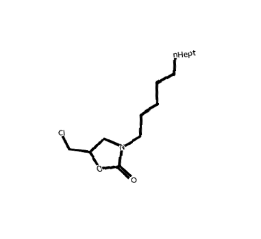 CCCCCCCCCCCCN1CC(CCl)OC1=O